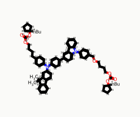 CCCCC1(OC(=O)OCCCCOCc2ccc(-n3c4ccccc4c4cc(-c5ccc(N(c6ccc(CCCCOC(=O)OC7(CCCC)CCCC7)cc6)c6ccc7c(c6)C(C)(C)c6ccccc6-7)cc5)ccc43)cc2)CCCC1